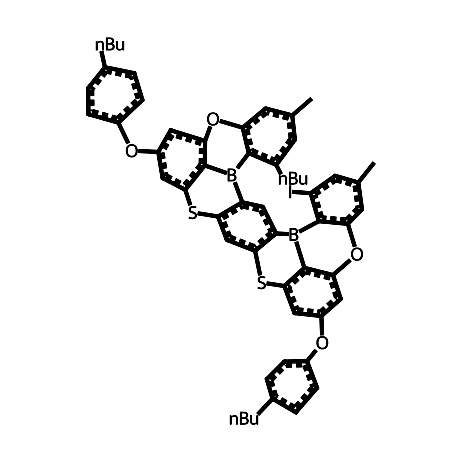 CCCCc1ccc(Oc2cc3c4c(c2)Sc2cc5c(cc2B4c2c(I)cc(C)cc2O3)B2c3c(CCCC)cc(C)cc3Oc3cc(Oc4ccc(CCCC)cc4)cc(c32)S5)cc1